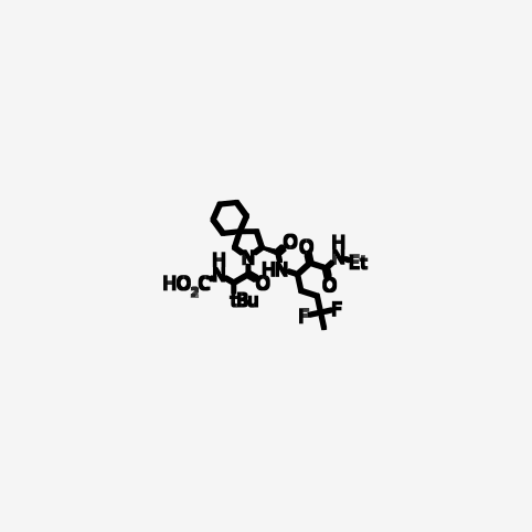 CCNC(=O)C(=O)C(CCC(C)(F)F)NC(=O)[C@@H]1CC2(CCCCC2)CN1C(=O)C(NC(=O)O)C(C)(C)C